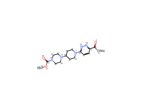 COC(=O)c1ccc(N2CCC(N3CCN(C(=O)OC(C)(C)C)CC3)CC2)nn1